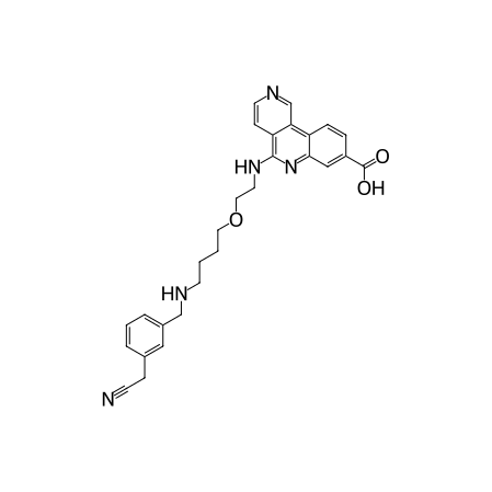 N#CCc1cccc(CNCCCCOCCNc2nc3cc(C(=O)O)ccc3c3cnccc23)c1